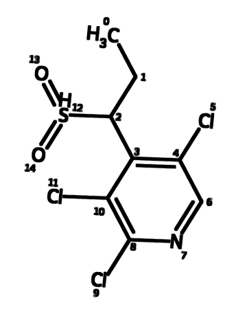 CCC(c1c(Cl)cnc(Cl)c1Cl)[SH](=O)=O